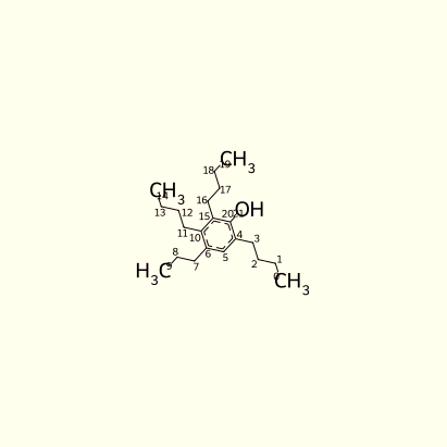 CCCCc1cc(CCC)c(CCCC)c(CCCC)c1O